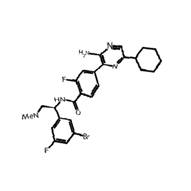 CNC[C@@H](NC(=O)c1ccc(-c2nc(C3CCCCC3)cnc2N)cc1F)c1cc(F)cc(Br)c1